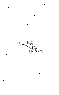 CCCCCCCCCc1c(CCC)nc2cc(C)nn2c1N